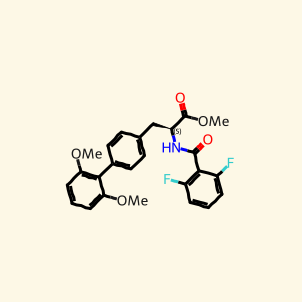 COC(=O)[C@H](Cc1ccc(-c2c(OC)cccc2OC)cc1)NC(=O)c1c(F)cccc1F